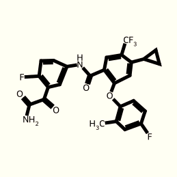 Cc1cc(F)ccc1Oc1cc(C2CC2)c(C(F)(F)F)cc1C(=O)Nc1ccc(F)c(C(=O)C(N)=O)c1